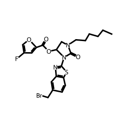 CCCCCCN1CC(OC(=O)c2cc(F)co2)N(c2nc3cc(CBr)ccc3s2)C1=O